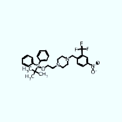 CC(C)(C)[Si](OCCN1CCN(Cc2ccc([N+](=O)[O-])cc2C(F)(F)F)CC1)(c1ccccc1)c1ccccc1